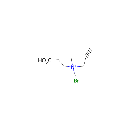 C#CC[N+](C)(C)CCC(=O)O.[Br-]